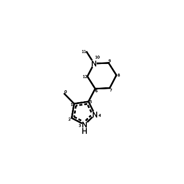 Cc1c[nH]nc1C1CCCN(C)C1